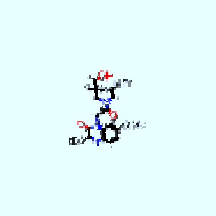 COc1ccc2nc(C(C)(C)C)c(=O)n(CC(=O)N(CCC(C)C)CC(C)(C)CO)c2c1